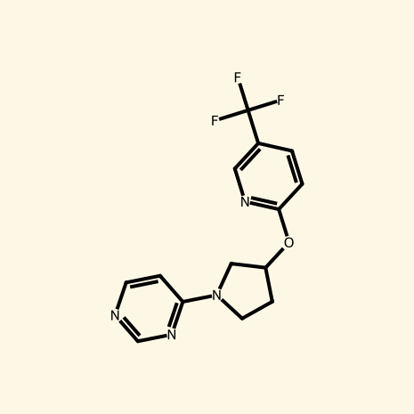 FC(F)(F)c1ccc(OC2CCN(c3ccncn3)C2)nc1